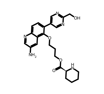 Nc1cnc2ccc(-c3cnc(CO)nc3)c(OCCCOC(=O)[C@@H]3CCCCN3)c2c1